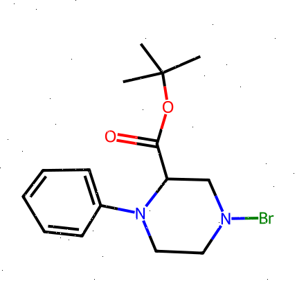 CC(C)(C)OC(=O)C1CN(Br)CCN1c1ccccc1